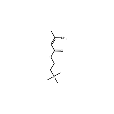 CC(N)=CC(=O)OCC[Si](C)(C)C